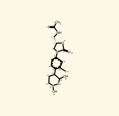 CC(=S)NC[C@H]1CN(c2ccc(C3CCN(O)SC3O)c(F)c2)C(=O)O1